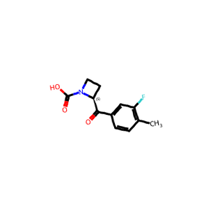 Cc1ccc(C(=O)[C@@H]2CCN2C(=O)O)cc1F